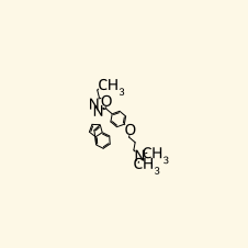 C1=Cc2c3cccc2C1=C3.CCc1nnc(-c2ccc(OCCCN(C)C)cc2)o1